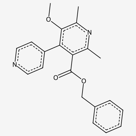 COc1c(C)nc(C)c(C(=O)OCc2ccccc2)c1-c1ccncc1